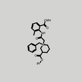 COC(=O)c1cccc(C)c1NC(=O)C[N+]1(Cc2ccccc2)CCCC(C(=O)OC(C)C)C1